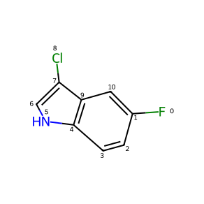 Fc1ccc2[nH]cc(Cl)c2c1